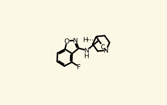 Fc1cccc2onc(N[C@@H]3CN4CCC3CC4)c12